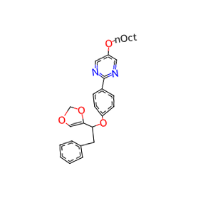 CCCCCCCCOc1cnc(-c2ccc(OC(Cc3ccccc3)C3=COCO3)cc2)nc1